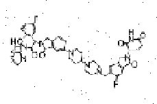 O=C1CCC(N2Cc3cc(CN4CCN(C5CCN(c6ccc7c(c6)C(=O)N(C(C(=O)Nc6nccs6)c6cc(F)ccc6O)C7)CC5)CC4)c(F)cc3C2=O)C(=O)N1